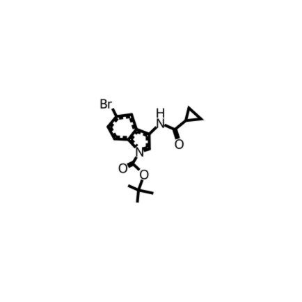 CC(C)(C)OC(=O)n1cc(NC(=O)C2CC2)c2cc(Br)ccc21